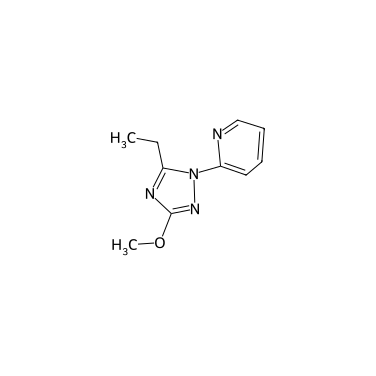 CCc1nc(OC)nn1-c1ccccn1